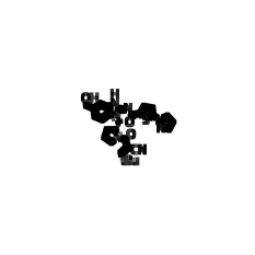 CC(C)(C)C=C(C#N)C(=O)N1CCC[C@@H]1Cn1c(=NC(=O)c2ccc(-n3cccn3)s2)[nH]c2cc(CO)ccc21